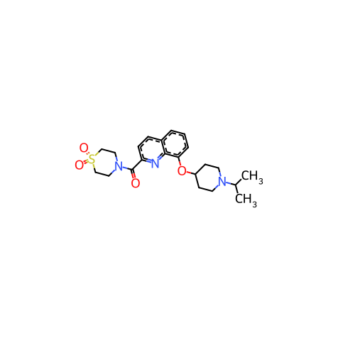 CC(C)N1CCC(Oc2cccc3ccc(C(=O)N4CCS(=O)(=O)CC4)nc23)CC1